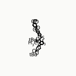 CC(C)(C)OC(=O)N1CCN(c2cccc(C(O[Si](C)(C)C(C)(C)C)C(=S)N3CC4=C(C3)CN(S(=O)(=O)c3ccc5c(c3)OCCO5)C4)c2)CC1